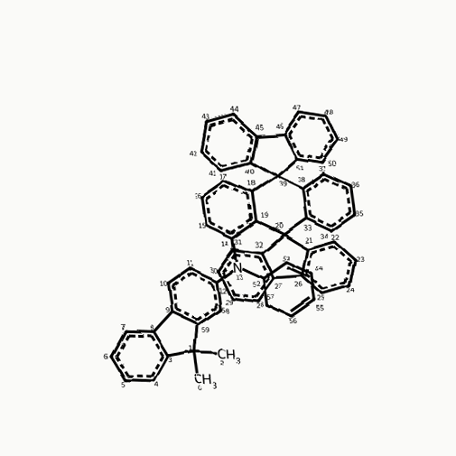 CC1(C)c2ccccc2-c2ccc(N(c3cccc4c3C3(c5ccccc5-c5ccccc53)c3ccccc3C43c4ccccc4-c4ccccc43)C3C=CC=CC3)cc21